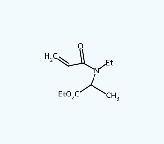 C=CC(=O)N(CC)C(C)C(=O)OCC